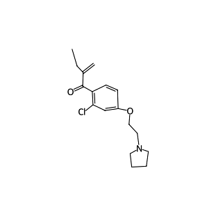 C=C(CC)C(=O)c1ccc(OCCN2CCCC2)cc1Cl